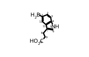 Bc1ccc2[nH]cc(CCC(=O)O)c2c1